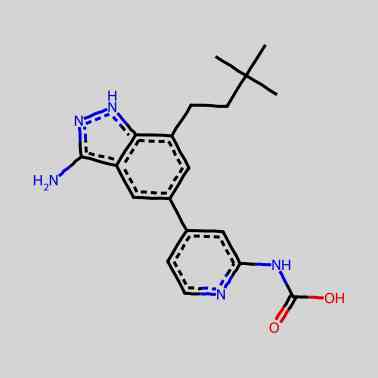 CC(C)(C)CCc1cc(-c2ccnc(NC(=O)O)c2)cc2c(N)n[nH]c12